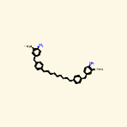 CCCCCCCc1cc(Cc2ccc(CCCCCCCCCc3ccc(Cc4ccc(N)c(CCCCCCC)c4)cc3)cc2)ccc1N